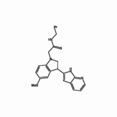 COc1ccc2c(c1)C(c1cc3cccnc3[nH]1)CN2CC(=O)NCC(C)C